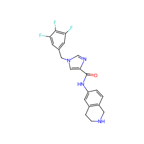 O=C(Nc1ccc2c(c1)CCNC2)c1cn(Cc2cc(F)c(F)c(F)c2)cn1